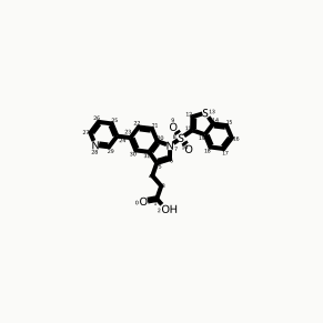 O=C(O)CCc1cn(S(=O)(=O)c2csc3ccccc23)c2ccc(-c3cccnc3)cc12